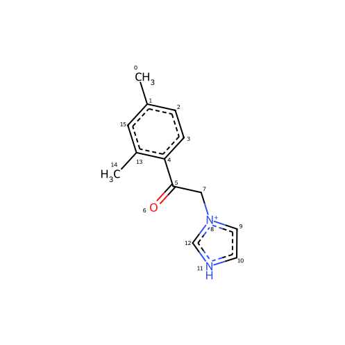 Cc1ccc(C(=O)C[n+]2cc[nH]c2)c(C)c1